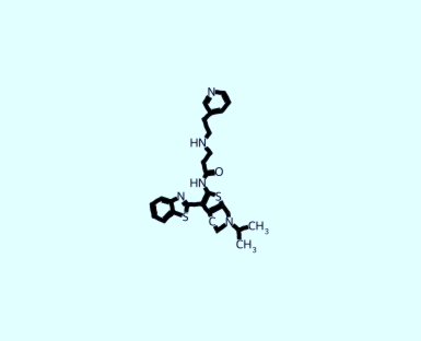 CC(C)N1CCc2c(sc(NC(=O)CCNCCc3cccnc3)c2-c2nc3ccccc3s2)C1